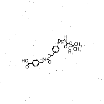 CC(C)(C)OC(=O)N[C@@H]1C[C@H]1c1ccc(COC(=O)NCc2ccc(C(=O)O)cc2)cc1